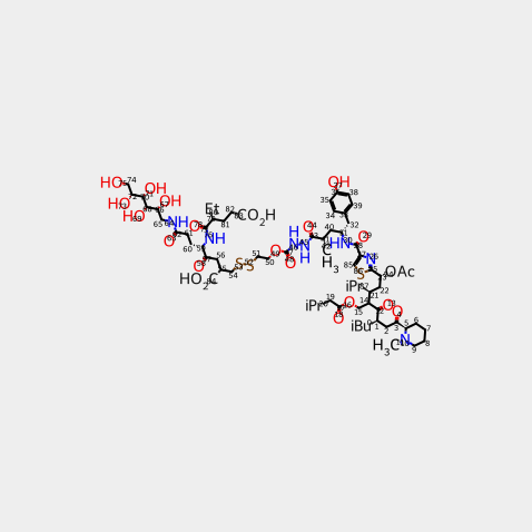 CCC(C)[C@H](CC(=O)[C@H]1CCCCN1C)C(=O)C(COC(=O)CC(C)C)[C@H](C[C@@H](OC(C)=O)c1nc(C(=O)N[C@@H](Cc2ccc(O)cc2)C[C@H](C)C(=O)NNC(=O)OCCSSC[C@H](CC(=O)[C@H](CCC(=O)NC[C@H](O)[C@@H](O)[C@H](O)[C@H](O)CO)NC(=O)[C@@H](CC)CCC(=O)O)C(=O)O)cs1)C(C)C